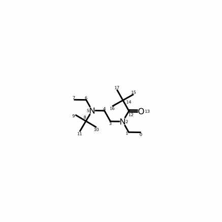 CCN(CCN(CC)C(C)(C)C)C(=O)C(C)(C)C